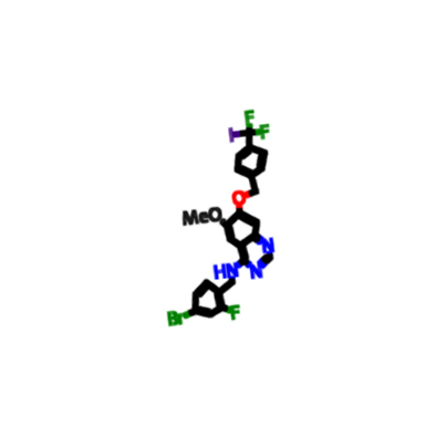 COc1cc2c(NCc3ccc(Br)cc3F)ncnc2cc1OCc1ccc(C(F)(F)I)cc1